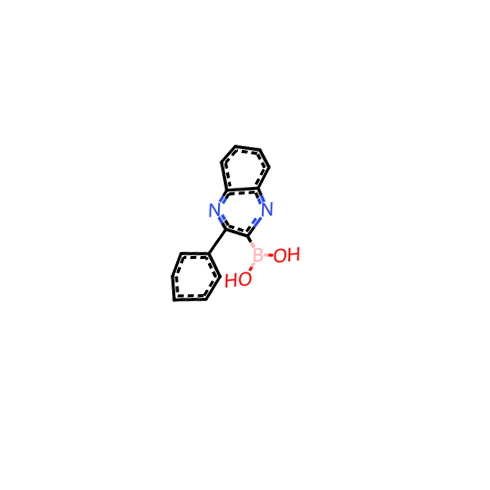 OB(O)c1nc2ccccc2nc1-c1ccccc1